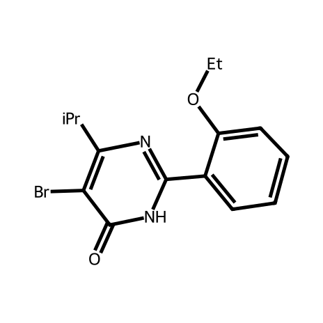 CCOc1ccccc1-c1nc(C(C)C)c(Br)c(=O)[nH]1